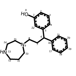 Oc1cccc(C(CCN2CCCNCC2)c2ccccc2)c1